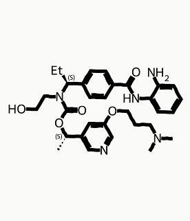 CC[C@@H](c1ccc(C(=O)Nc2ccccc2N)cc1)N(CCO)C(=O)O[C@@H](C)c1cncc(OCCCN(C)C)c1